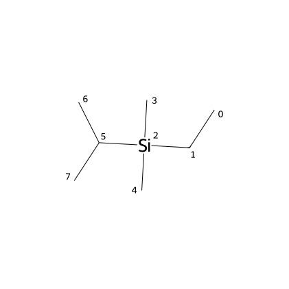 CC[Si](C)(C)C(C)C